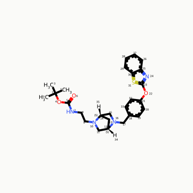 CC(C)(C)OC(=O)NCCN1C[C@@H]2C[C@H]1CN2Cc1ccc(Oc2nc3ccccc3s2)cc1